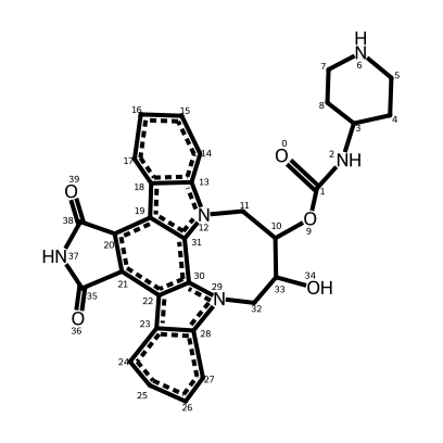 O=C(NC1CCNCC1)OC1Cn2c3ccccc3c3c4c(c5c6ccccc6n(c5c32)CC1O)C(=O)NC4=O